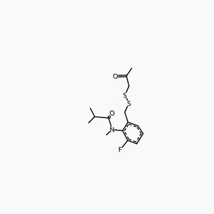 CC(=O)CSSCc1cccc(F)c1N(C)C(=O)C(C)C